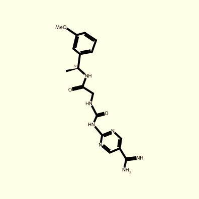 COc1cccc([C@H](C)NC(=O)CNC(=O)Nc2ncc(C(=N)N)cn2)c1